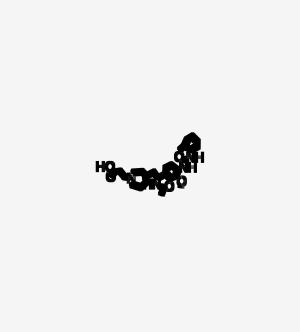 COc1cc(C(CC2=CC=CN(CCC(=O)O)C=C2)NC(C)=O)ccc1NC(=O)Nc1ccccc1C